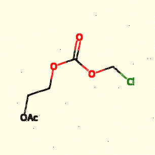 CC(=O)OCCOC(=O)OCCl